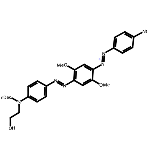 CCCCCCCCCCN(CCO)c1ccc(N=Nc2cc(OC)c(/N=N/c3ccc([N+](=O)[O-])cc3)cc2OC)cc1